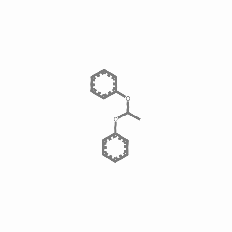 C[C](Oc1ccccc1)Oc1ccccc1